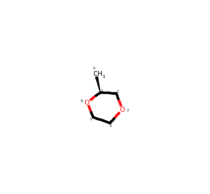 C[C@H]1COCCO1